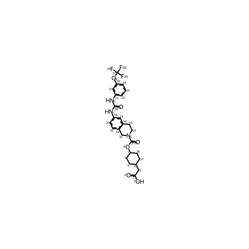 O=C(O)CC1CCC(OC(=O)N2CCc3cc(NC(=O)Nc4cccc(OC(F)(F)F)c4)ccc3C2)CC1